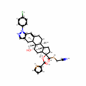 C[C@]12Cc3cnn(-c4ccc(F)cc4)c3C=C1CC[C@@H]1[C@@H]2[C@@H](O)C[C@@]2(C)[C@H]1CC[C@]2(OC(=O)c1cccs1)C(=O)SCC#N